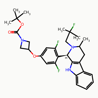 CC1Cc2c([nH]c3ccccc23)[C@@H](c2c(F)cc(OC3CN(C(=O)OC(C)(C)C)C3)cc2F)N1CC(C)(C)F